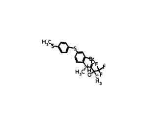 CSc1ccc(Sc2ccc(N(C)C(=O)[C@@](C)(O)C(F)(F)F)c(Br)c2)cc1